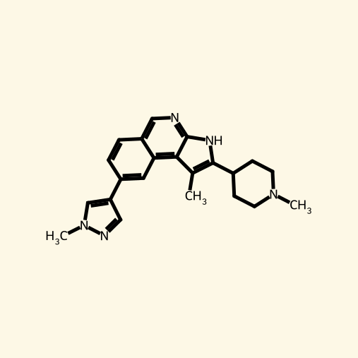 Cc1c(C2CCN(C)CC2)[nH]c2ncc3ccc(-c4cnn(C)c4)cc3c12